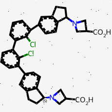 O=C(O)C1CN(C2CCc3cc(-c4cccc(-c5cccc(-c6ccc7c(c6)CC[C@@H]7N6CC(C(=O)O)C6)c5Cl)c4Cl)ccc32)C1